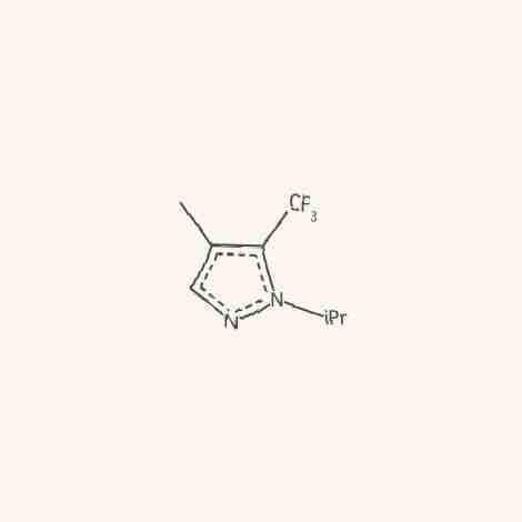 Cc1cnn(C(C)C)c1C(F)(F)F